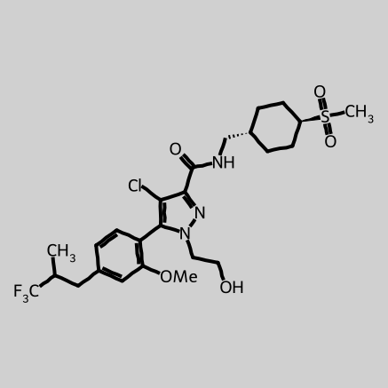 COc1cc(CC(C)C(F)(F)F)ccc1-c1c(Cl)c(C(=O)NC[C@H]2CC[C@H](S(C)(=O)=O)CC2)nn1CCO